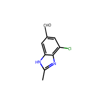 Cc1nc2c(Cl)cc(C=O)cc2[nH]1